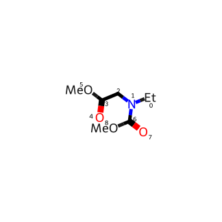 CCN(CC(=O)OC)C(=O)OC